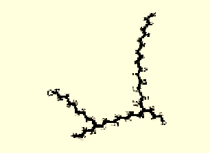 CCCCCCCC/C=C/CCCCCC/C(=C\CCCCCCC(CCCC)CCCCCCCCC=O)CCCC